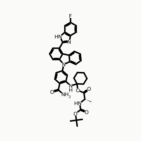 C[C@H](NC(=O)OC(C)(C)C)C(=O)OC1(Nc2cc(-n3c4ccccc4c4c(-c5nc6ccc(F)cc6[nH]5)cccc43)ccc2C(N)=O)CCCCC1